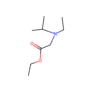 CCOC(=O)CN(CC)C(C)C